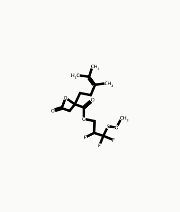 COSC(F)(F)C(F)COC(=O)C1(CCC(C)=C(C)C)CC(=O)O1